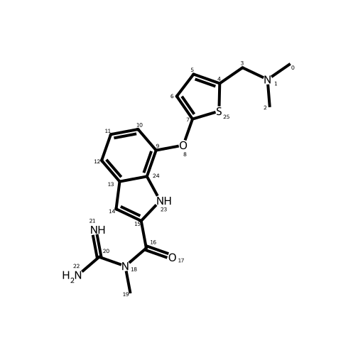 CN(C)Cc1ccc(Oc2cccc3cc(C(=O)N(C)C(=N)N)[nH]c23)s1